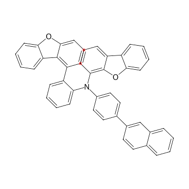 c1ccc(N(c2ccc(-c3ccc4ccccc4c3)cc2)c2cccc3c2oc2ccccc23)c(-c2cccc3oc4ccccc4c23)c1